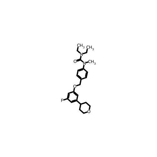 CCN(CC)C(=O)N(C)c1ccc(COc2cc(F)cc(C3CCOCC3)c2)cc1